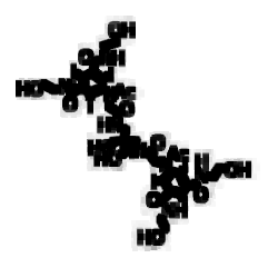 CC(=O)N(CC(=O)NCC(CO)(CO)CNC(=O)CN(C(C)=O)c1c(I)c(C(=O)NCCO)c(I)c(C(=O)NCCO)c1I)c1c(I)c(C(=O)NCCO)c(I)c(C(=O)NCCO)c1I